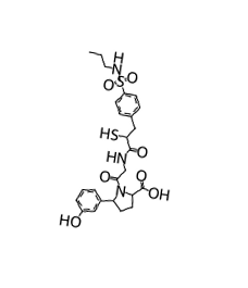 CCCNS(=O)(=O)c1ccc(CC(S)C(=O)NCC(=O)N2C(C(=O)O)CCC2c2cccc(O)c2)cc1